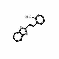 O=Cc1ccccc1C=Cc1nc2ccccc2s1